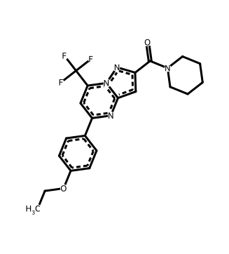 CCOc1ccc(-c2cc(C(F)(F)F)n3nc(C(=O)N4CCCCC4)cc3n2)cc1